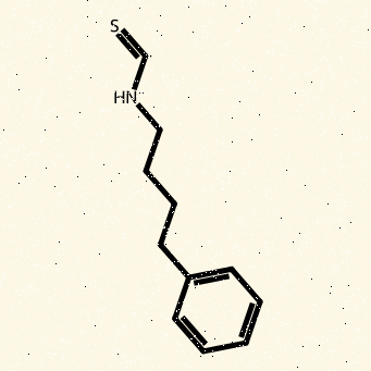 S=[C]NCCCCc1ccccc1